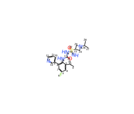 CC(C)c1cc(F)cc(-c2cccnc2)c1NC(=O)NS(=N)(=O)C1CN(C(C)C)C1